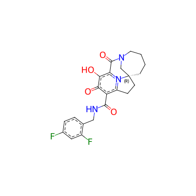 O=C(NCc1ccc(F)cc1F)c1c2n3c(c(O)c1=O)C(=O)N1CCCC[C@@]3(CC2)C1